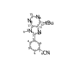 Cn1c(-c2cccc(C#N)c2)nc2c(C(C)(C)C)ncnc21